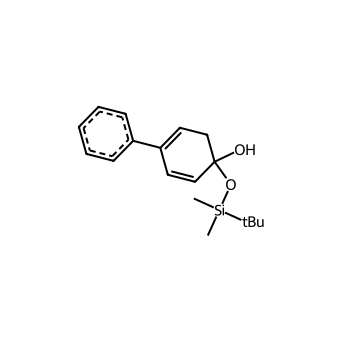 CC(C)(C)[Si](C)(C)OC1(O)C=CC(c2ccccc2)=CC1